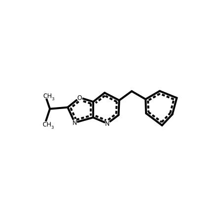 CC(C)c1nc2ncc(Cc3ccccc3)cc2o1